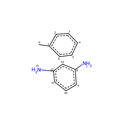 Cc1ccccc1.Nc1cccc(N)c1